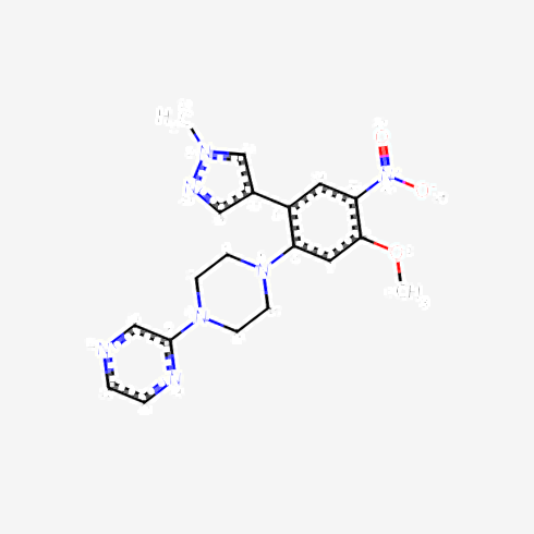 COc1cc(N2CCN(c3cnccn3)CC2)c(-c2cnn(C)c2)cc1[N+](=O)[O-]